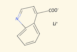 O=C([O-])c1ccnc2ccccc12.[Li+]